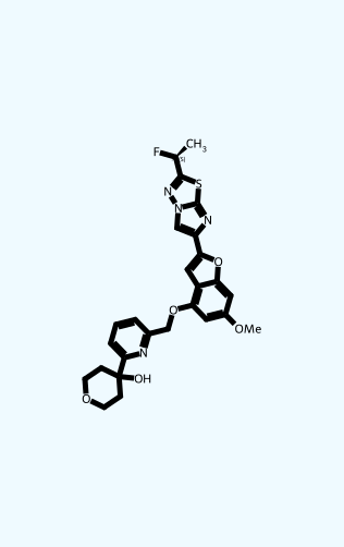 COc1cc(OCc2cccc(C3(O)CCOCC3)n2)c2cc(-c3cn4nc([C@H](C)F)sc4n3)oc2c1